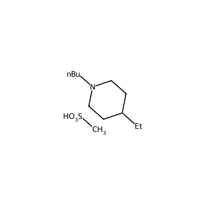 CCCCN1CCC(CC)CC1.CS(=O)(=O)O